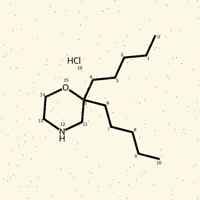 CCCCCC1(CCCCC)CNCCO1.Cl